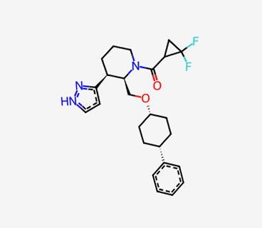 O=C(C1CC1(F)F)N1CCC[C@H](c2cc[nH]n2)[C@@H]1CO[C@H]1CC[C@@H](c2ccccc2)CC1